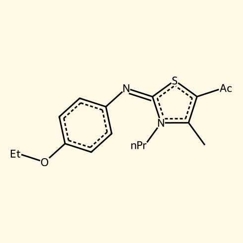 CCCn1c(C)c(C(C)=O)s/c1=N/c1ccc(OCC)cc1